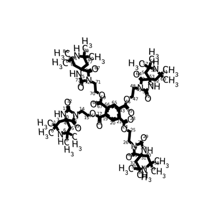 CC1(C)CC2(CC(C)(C)N1)NC(=O)N(CCOC(=O)c1cc(C(=O)OCCN3C(=O)NC4(CC(C)(C)NC(C)(C)C4)C3=O)c(C(=O)OCCN3C(=O)NC4(CC(C)(C)NC(C)(C)C4)C3=O)cc1C(=O)OCCN1C(=O)NC3(CC(C)(C)NC(C)(C)C3)C1=O)C2=O